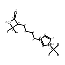 CC1(C)OC(=O)C1CCCC[n+]1ccn(C(C)(C)C)c1